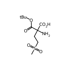 CC(C)(C)OC(=O)C(N)(CCS(C)(=O)=O)C(=O)O